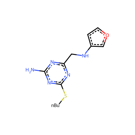 CCCCSc1nc(N)nc(CNc2ccoc2)n1